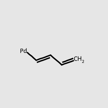 C=CC=[CH][Pd]